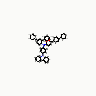 c1ccc(-c2ccc(-c3ccc(N(c4ccc(-n5c6ccccc6c6ccccc65)cc4)c4ccc(-c5ccccc5)cc4-c4ccccc4)cc3)cc2)cc1